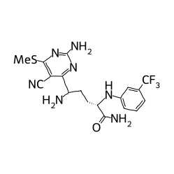 CSc1nc(N)nc(C(N)CC[C@H](Nc2cccc(C(F)(F)F)c2)C(N)=O)c1C#N